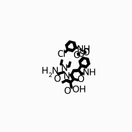 CCN(CC)C(C(N)=O)n1c(C)c(C(=O)O)c(C)c1C=C1C(=O)Nc2ccc(S(=O)(=O)Nc3cccc(Cl)c3)cc21